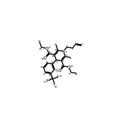 C=CCCN1C(C)=C(C(=O)OCC)C(c2cccc(C(F)(F)F)c2)C(C(=O)OCC)=C1C